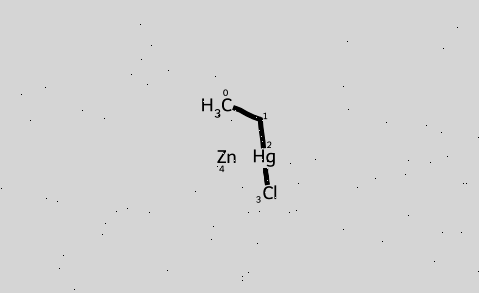 C[CH2][Hg][Cl].[Zn]